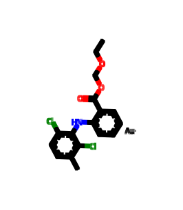 CCOCOC(=O)c1ccccc1Nc1c(Cl)ccc(C)c1Cl.[Au]